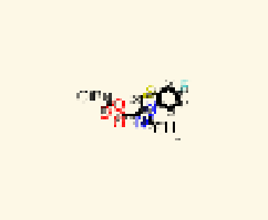 Cc1nc(C(=O)OC(=O)OCC(C)C)c2n1-c1ccc(F)cc1SC2